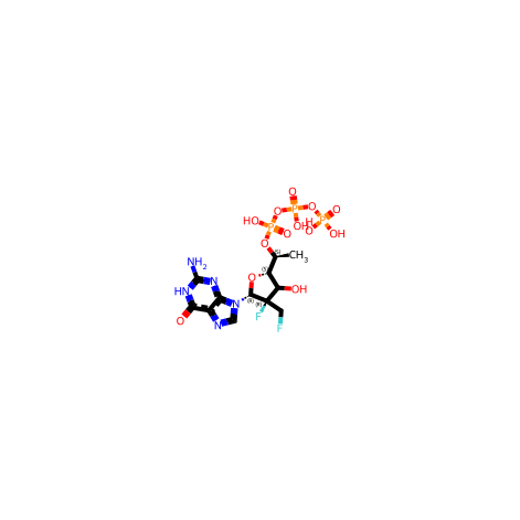 C[C@H](OP(=O)(O)OP(=O)(O)OP(=O)(O)O)[C@H]1O[C@@H](n2cnc3c(=O)[nH]c(N)nc32)[C@@](F)(CF)C1O